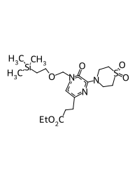 CCOC(=O)CCc1cn(COCC[Si](C)(C)C)c(=O)c(N2CCS(=O)(=O)CC2)n1